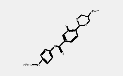 CCCCCOc1ccc(OC(=O)c2ccc(C3OCC(CCCCC)CO3)c(F)c2)cc1